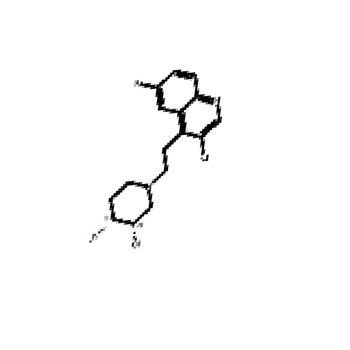 N[C@@H]1CCN(CCc2c(Cl)cnc3ccc(F)cc23)C[C@@H]1O